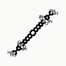 CC(C)c1cc(C(CO)CO)cc(C(C)C)c1N1C(=O)c2cc3c(cc2C1=O)=CC1C=C2/C=C\C4=CC5C=c6cc7c(cc6=CC5C=C4/C=C\C2=CC1C=3)C(=O)N(c1c(C(C)C)cc(C(CO)CO)cc1C(C)C)C7=O